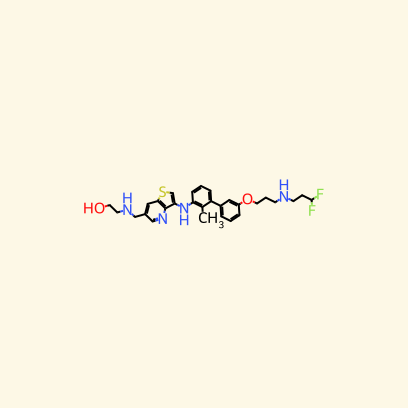 Cc1c(Nc2csc3cc(CNCCO)cnc23)cccc1-c1cccc(OCCCNCCC(F)F)c1